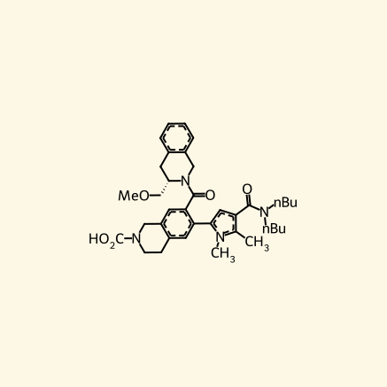 CCCCN(CCCC)C(=O)c1cc(-c2cc3c(cc2C(=O)N2Cc4ccccc4C[C@H]2COC)CN(C(=O)O)CC3)n(C)c1C